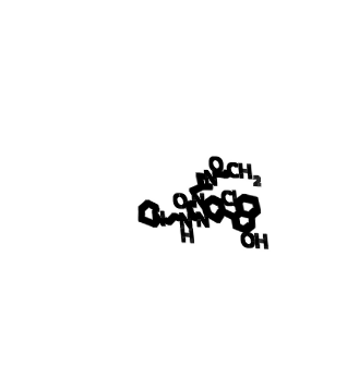 C=CC(=O)N1CC(Cn2c(=O)c(NCCN3CCCCC3)nc3cc(-c4cc(O)cc5ccccc45)c(Cl)cc32)C1